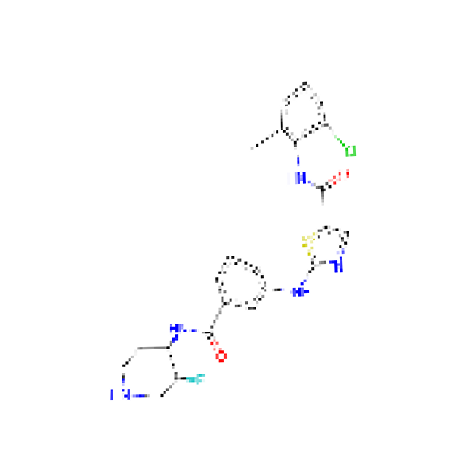 Cc1cccc(Cl)c1NC(=O)c1cnc(Nc2cccc(C(=O)N[C@@H]3CCNC[C@@H]3F)c2)s1